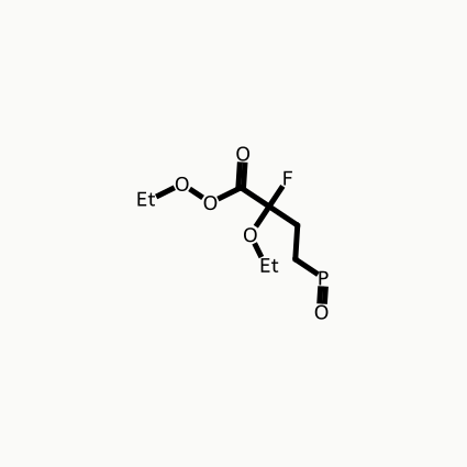 CCOOC(=O)C(F)(CCP=O)OCC